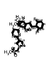 CC1(C)[C@H]2CC[C@]1(c1ccnc(-c3cnn(CS(C)(=O)=O)c3)n1)c1nnc(-c3c(F)cccc3F)cc12